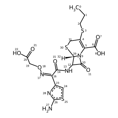 CCCSC1=C(C(=O)O)N2C(=O)C(NC(=O)/C(=N\OCC(=O)O)c3csc(N)n3)[C@@H]2SC1